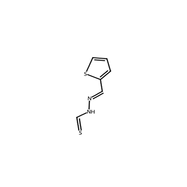 S=CNN=Cc1cccs1